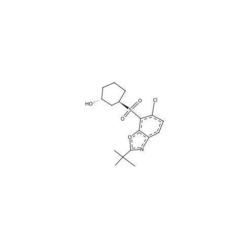 CC(C)(C)c1nc2ccc(Cl)c(S(=O)(=O)[C@@H]3CCC[C@@H](O)C3)c2o1